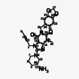 CC#CCn1c(N2CCC[C@@H](N)C2)nc2c1c(=O)n(Cc1ccc3c(c1)OCO3)c(=O)n2C